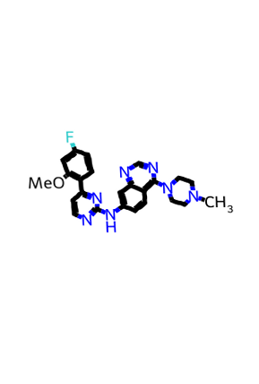 COc1cc(F)ccc1-c1ccnc(Nc2ccc3c(N4CCN(C)CC4)ncnc3c2)n1